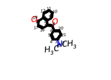 CN(C)c1ccc(-c2oc3cccc4c3c2C=CC4=O)cc1